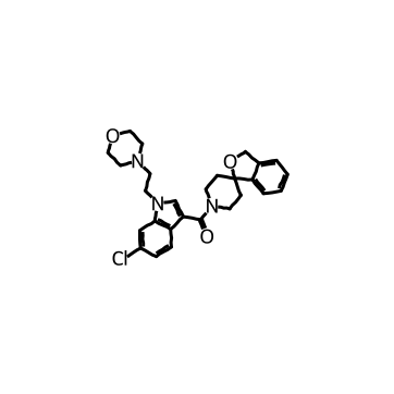 O=C(c1cn(CCN2CCOCC2)c2cc(Cl)ccc12)N1CCC2(CC1)OCc1ccccc12